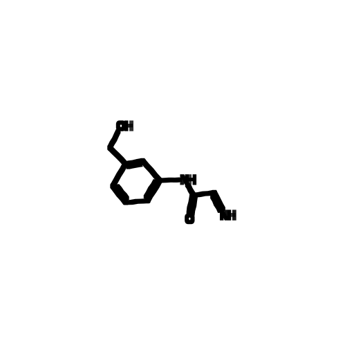 N=CC(=O)Nc1cccc(CO)c1